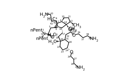 CCCCCN(CCCCC)C(=O)CC[C@@H](C)[C@H]1CC[C@@H](C)[C@]1(C)[C@H](C[C@@H](C)[C@@]1(C)CC[C@@H](OCCCN)CC1C[C@H](C)OCCCN)OCCCN